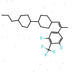 CCCC1CCC(C2CCC(C=C(C)c3cc(F)c(C(F)(F)F)c(F)c3)CC2)CC1